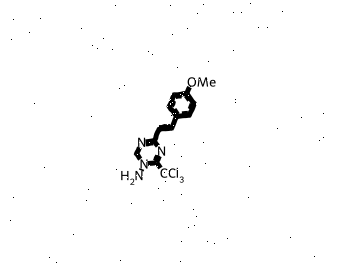 COc1ccc(C=CC2=NCN(N)C(C(Cl)(Cl)Cl)=N2)cc1